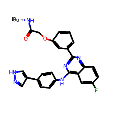 CC[C@@H](C)NC(=O)COc1cccc(-c2nc(Nc3ccc(-c4cn[nH]c4)cc3)c3cc(F)ccc3n2)c1